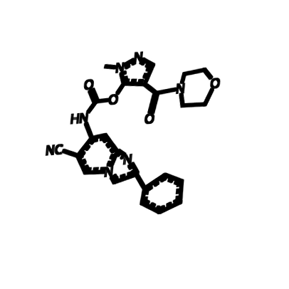 Cn1ncc(C(=O)N2CCOCC2)c1OC(=O)Nc1cc2nc(-c3ccccc3)cn2cc1C#N